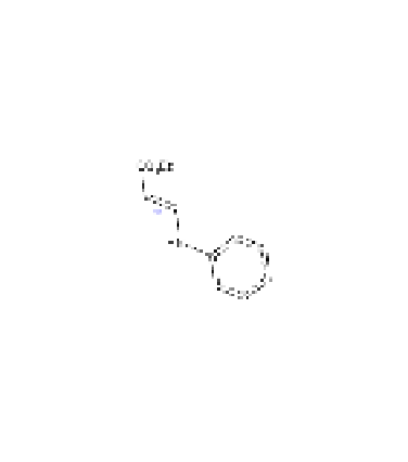 CCOC(=O)/C=C/Nc1ccccc1